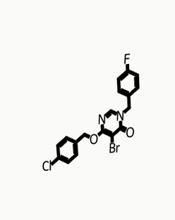 O=c1c(Br)c(OCc2ccc(Cl)cc2)ncn1Cc1ccc(F)cc1